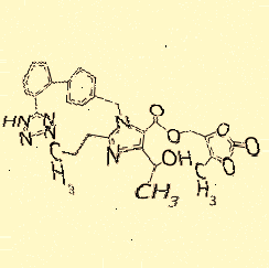 CCCc1nc(C(C)O)c(C(=O)OCc2oc(=O)oc2C)n1Cc1ccc(-c2ccccc2-c2nnn[nH]2)cc1